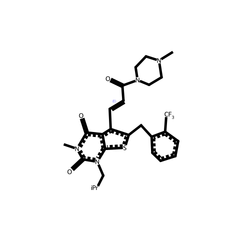 CC(C)Cn1c(=O)n(C)c(=O)c2c(/C=C/C(=O)N3CCN(C)CC3)c(Cc3ccccc3C(F)(F)F)sc21